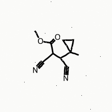 COC(=O)C(C#N)C(C#N)C1(C)CC1